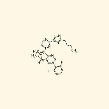 CSCCc1ncn(-c2nccc([C@@]34CC[C@@H](c5cc(-c6c(F)cccc6F)nnc53)C4(C)C)n2)n1